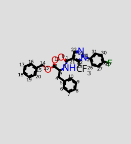 O=C(NC(Cc1ccccc1)C(=O)OCc1ccccc1)c1cnn(-c2ccc(F)cc2)c1C(F)(F)F